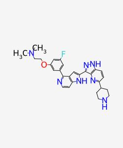 CN(C)CCOc1cc(F)cc(-c2nccc3[nH]c(-c4n[nH]c5ccc(C6CCNCC6)nc45)cc23)c1